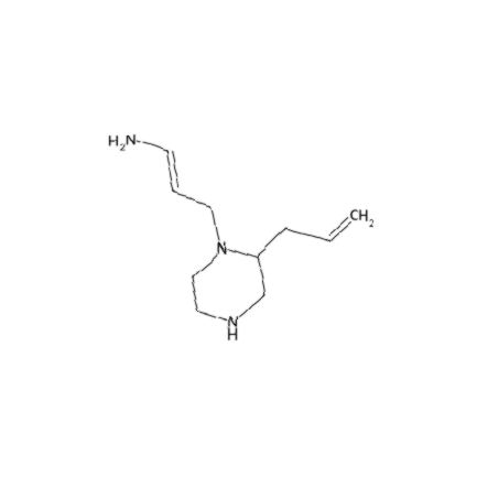 C=CCC1CNCCN1CC=CN